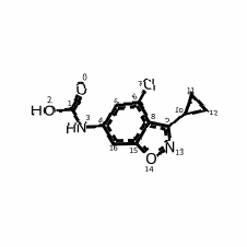 O=C(O)Nc1cc(Cl)c2c(C3CC3)noc2c1